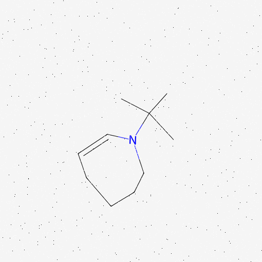 CC(C)(C)N1C=CCCCC1